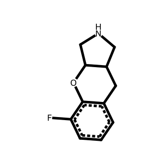 Fc1cccc2c1OC1CNCC1C2